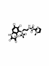 Cn1ccnc1S(=O)(=O)NCCN(c1c(Cl)c(Cl)cc2[nH]c(=O)c(=O)[nH]c12)S(C)(=O)=O